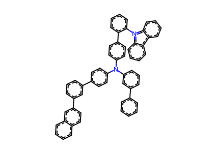 c1ccc(-c2cccc(N(c3ccc(-c4cccc(-c5ccc6ccccc6c5)c4)cc3)c3ccc(-c4ccccc4-n4c5ccccc5c5ccccc54)cc3)c2)cc1